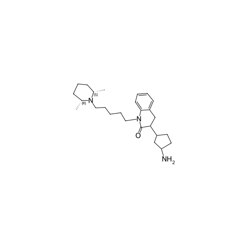 C[C@@H]1CCC[C@H](C)N1CCCCCN1C(=O)C(C2CCC(N)C2)Cc2ccccc21